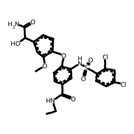 CCNC(=O)c1ccc(Oc2ccc(C(O)C(N)=O)cc2OC)c(NS(=O)(=O)c2ccc(Cl)cc2Cl)c1